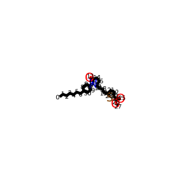 CCCCCCCc1ccc(N2C(=O)CCC2CCCc2ccc(C(=O)OC)s2)cc1